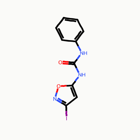 O=C(Nc1ccccc1)Nc1cc(I)no1